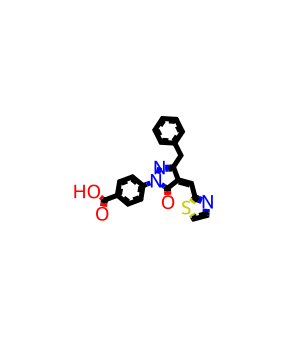 O=C(O)c1ccc(N2N=C(Cc3ccccc3)/C(=C/c3nccs3)C2=O)cc1